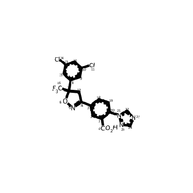 O=C(O)c1cc(C2=NOC(c3cc(Cl)cc(Cl)c3)(C(F)(F)F)C2)ccc1-n1cncn1